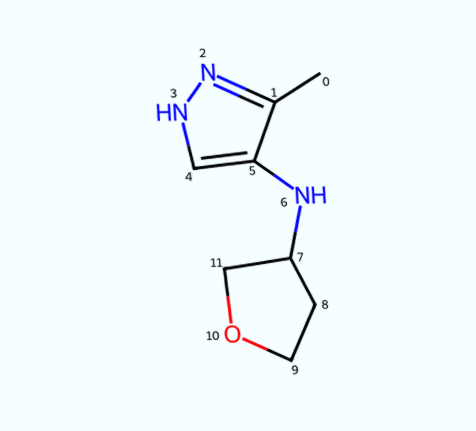 Cc1n[nH]cc1NC1CCOC1